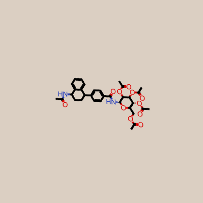 CC(=O)NC1CCC(c2ccc(C(=O)N[C@@H]3OC(COC(C)=O)[C@@H](OC(C)=O)C(OC(C)=O)C3OC(C)=O)cc2)c2ccccc21